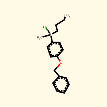 CCCC[Si](C)(Cl)c1ccc(OCc2ccccc2)cc1